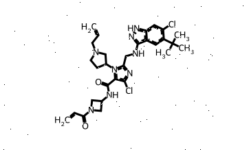 C=CCN1CCC(n2c(CNc3n[nH]c4cc(Cl)c(C(C)(C)C)cc34)nc(Cl)c2C(=O)NC2CN(C(=O)C=C)C2)C1